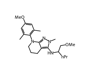 CCCC(COC)Nc1c2c(nn1C)N(c1c(C)cc(OC)cc1C)CCC2